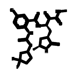 CNC(=O)C(=O)[C@H](C[C@@H]1C[C@@H](C)NC1=O)NC(=O)c1cc(Cl)ccc1NC(=O)OC1CCC(F)(F)C1